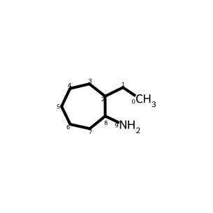 CCC1CCCCCC1N